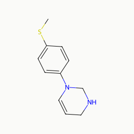 CSc1ccc(N2C=CCNC2)cc1